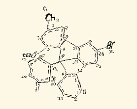 Cc1cc2c(c(C(C)(C)C)c1)C(c1ccccc1)(c1ccccc1)c1ccc(Br)cc1-2